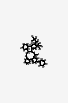 C=C1CC2C(CCc3ccncc3-c3ccc(-c4ccccc4)c[n+]31)c1ccccc1-c1cc(C(C)C(C)(C)C)c([Si](C)(C)C)c[n+]12